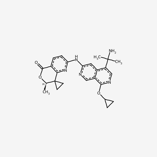 C[C@H]1OC(=O)c2ccc(Nc3cc4c(C(C)(C)N)cnc(OC5CC5)c4cn3)nc2C12CC2